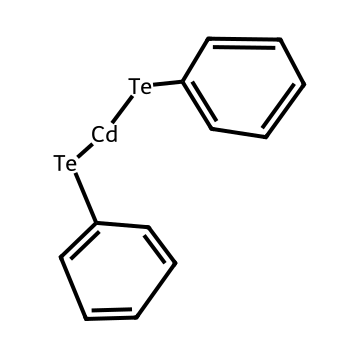 c1ccc([Te][Cd][Te]c2ccccc2)cc1